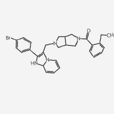 CCc1ccccc1C(=O)N1CC2CN(CC3=C(c4ccc(Br)cc4)NC4C=CC=CN34)CC2C1